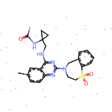 Cc1ccc2nc(N3CCS(=O)(=O)c4ccccc4C3)nc(NCC3(NC(=O)I)CC3)c2c1